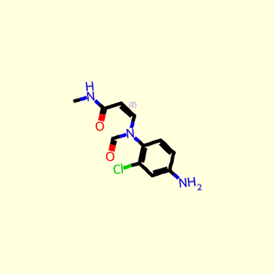 CNC(=O)/C=C\N(C=O)c1ccc(N)cc1Cl